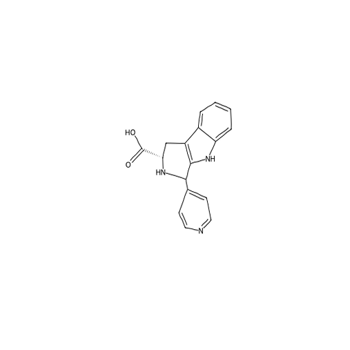 O=C(O)[C@@H]1Cc2c([nH]c3ccccc23)C(c2ccncc2)N1